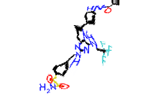 CN1CC[C@H](C(=O)Nc2ccc(-c3ccc4nc(NCc5ccc(S(N)(=O)=O)cc5)nc(NCC(F)(F)F)c4n3)cc2)C1